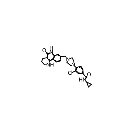 O=C(NC1CC1)c1ccc(N2CCN(Cc3ccc4c5c(c(=O)[nH]c4c3)CCCN5)CC2)c(Cl)c1